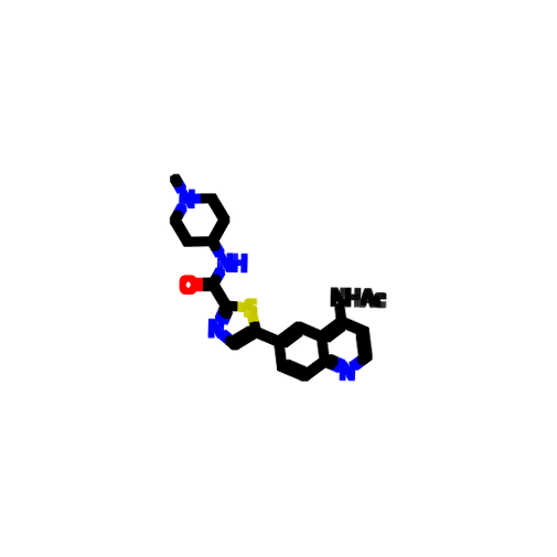 CC(=O)Nc1ccnc2ccc(-c3cnc(C(=O)NC4CCN(C)CC4)s3)cc12